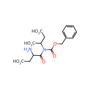 NC(CC(=O)O)C(=O)N(C(=O)OCc1ccccc1)C(CC(=O)O)C(=O)O